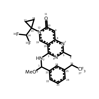 COC(Nc1nc(C)nc2cc(=O)n(C3(C(F)F)CC3)cc12)c1cccc(CC(F)(F)F)c1